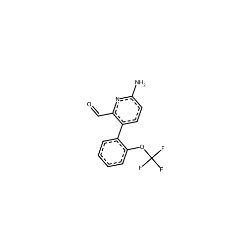 Nc1ccc(-c2ccccc2OC(F)(F)F)c(C=O)n1